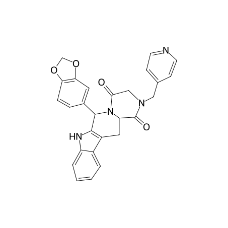 O=C1C2Cc3c([nH]c4ccccc34)C(c3ccc4c(c3)OCO4)N2C(=O)CN1Cc1ccncc1